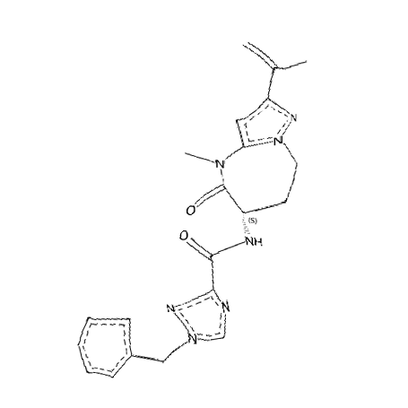 C=C(C)c1cc2n(n1)CC[C@H](NC(=O)c1ncn(Cc3ccccc3)n1)C(=O)N2C